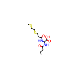 CCCC(=O)NC(NC(=O)CCSCCSC)C(=O)O